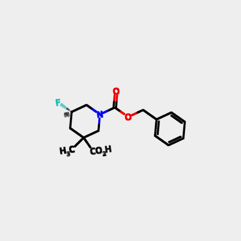 CC1(C(=O)O)C[C@H](F)CN(C(=O)OCc2ccccc2)C1